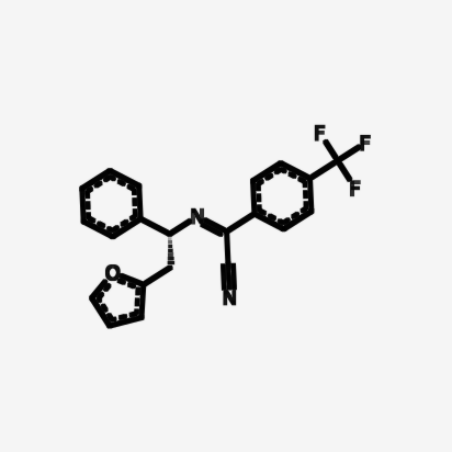 N#C/C(=N\[C@H](Cc1ccco1)c1ccccc1)c1ccc(C(F)(F)F)cc1